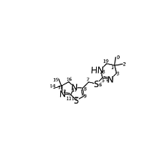 CC1(C)CN=C(SCC2=CSC3=NC(C)(C)CN23)NC1